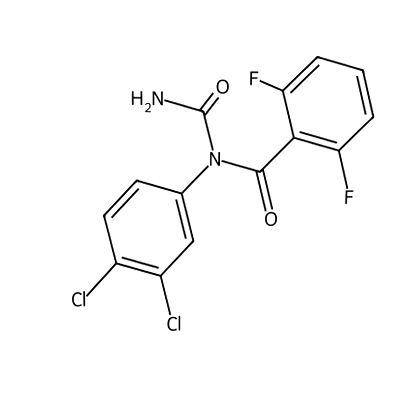 NC(=O)N(C(=O)c1c(F)cccc1F)c1ccc(Cl)c(Cl)c1